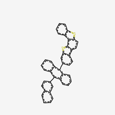 c1ccc2cc(-c3c4ccccc4c(-c4ccc5c(c4)sc4c5ccc5sc6ccccc6c54)c4ccccc34)ccc2c1